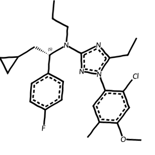 CCCN(c1nc(CC)n(-c2cc(C)c(OC)cc2Cl)n1)[C@@H](CC1CC1)c1ccc(F)cc1